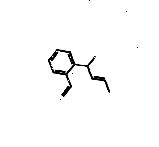 C=Cc1ccccc1C(C)C=CC